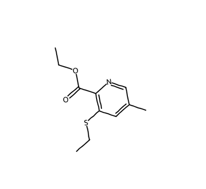 CCOC(=O)c1ncc(C)cc1SCC